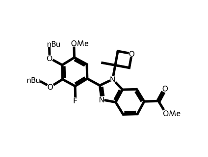 CCCCOc1c(OC)cc(-c2nc3ccc(C(=O)OC)cc3n2C2(C)COC2)c(F)c1OCCCC